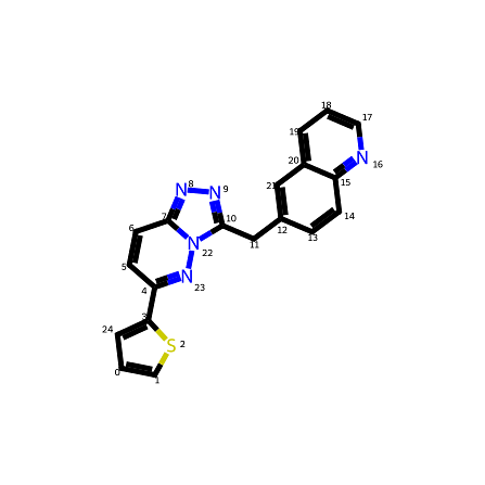 c1csc(-c2ccc3nnc(Cc4ccc5ncccc5c4)n3n2)c1